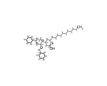 CCCCCCCCCCCCCC(CC(=O)O)C(C)C(OCc1ccccc1)OCc1ccccc1